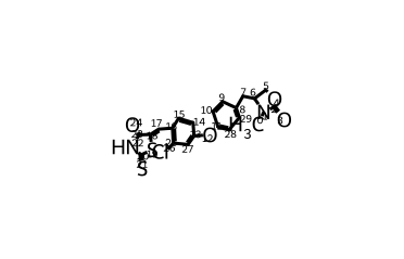 CN1C(=O)OCC1Cc1ccc(Oc2ccc(/C=C3\SC(=S)NC3=O)c(Cl)c2)cc1